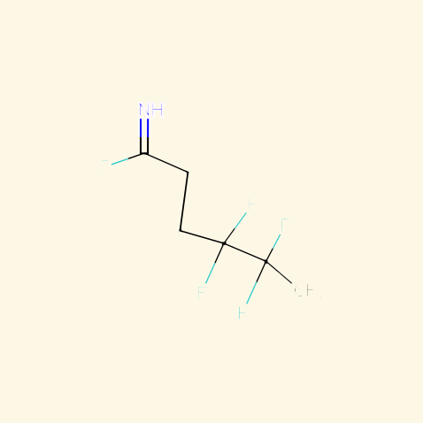 N=C(F)CCC(F)(F)C(F)(F)C(F)(F)F